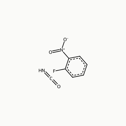 N=C=O.O=[N+]([O-])c1ccccc1F